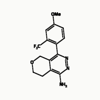 COc1ccc(-c2nnc(N)c3c2COCC3)c(C(F)(F)F)c1